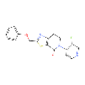 O=C1c2sc(COc3ccccc3)nc2CCN1c1ccncc1F